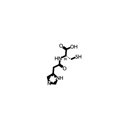 O=C(Cc1cnc[nH]1)N[C@@H](CS)C(=O)O